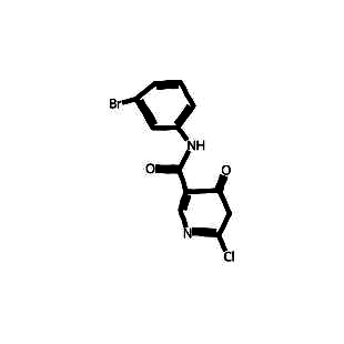 O=C1CC(Cl)=NC=C1C(=O)Nc1cccc(Br)c1